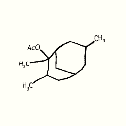 CC(=O)OC1(C)C(C)CC2CC(C)CC1C2